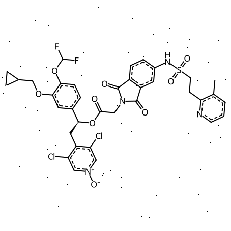 Cc1cccnc1CCS(=O)(=O)Nc1ccc2c(c1)C(=O)N(CC(=O)O[C@@H](Cc1c(Cl)c[n+]([O-])cc1Cl)c1ccc(OC(F)F)c(OCC3CC3)c1)C2=O